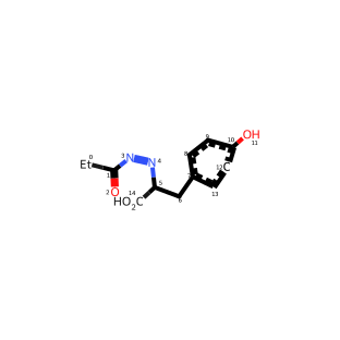 CCC(=O)/N=N\C(Cc1ccc(O)cc1)C(=O)O